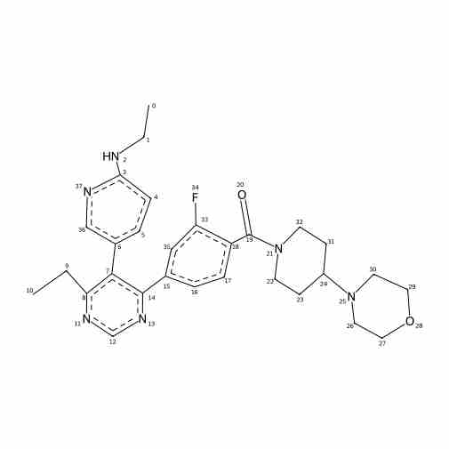 CCNc1ccc(-c2c(CC)ncnc2-c2ccc(C(=O)N3CCC(N4CCOCC4)CC3)c(F)c2)cn1